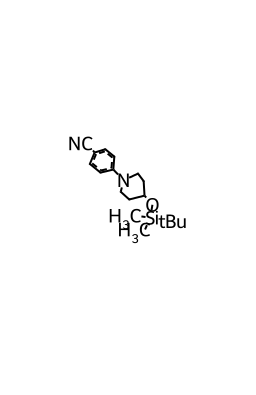 CC(C)(C)[Si](C)(C)OC1CCN(c2ccc(C#N)cc2)CC1